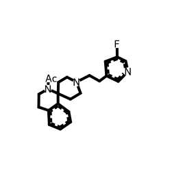 CC(=O)N1CCc2ccccc2C12CCN(CCc1cncc(F)c1)CC2